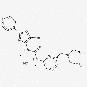 CCN(CC)Cc1cccc(NC(=O)Nc2nc(-c3ccncc3)sc2Br)n1.Cl